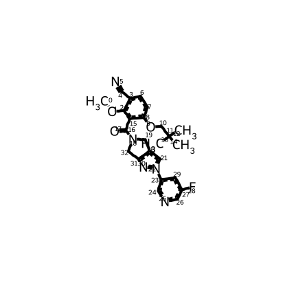 COc1c(C#N)ccc(OCC(C)(C)C)c1C(=O)N1Cc2cn(-c3cncc(F)c3)nc2C1